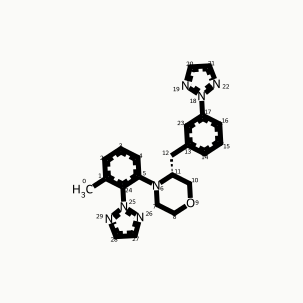 Cc1cccc(N2CCOC[C@H]2Cc2cccc(-n3nccn3)c2)c1-n1nccn1